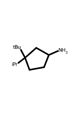 CC(C)C1(C(C)(C)C)CCC(N)C1